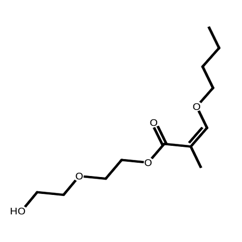 CCCCOC=C(C)C(=O)OCCOCCO